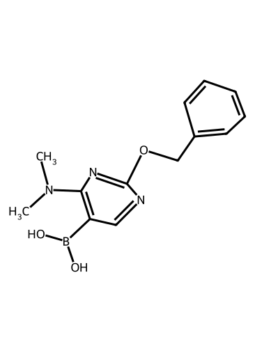 CN(C)c1nc(OCc2ccccc2)ncc1B(O)O